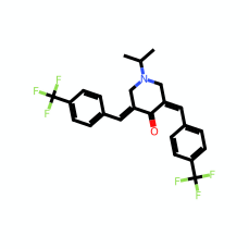 CC(C)N1CC(=Cc2ccc(C(F)(F)F)cc2)C(=O)C(=Cc2ccc(C(F)(F)F)cc2)C1